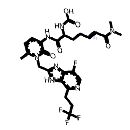 Cc1ccc(NC(=O)C(CC/C=C/C(=O)N(C)C)NC(=O)O)c(=O)n1Cc1nc2c(F)cnc(CCC(F)(F)F)c2[nH]1